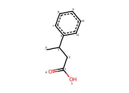 [CH2]C(CC(=O)O)c1ccccc1